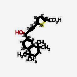 CC1(C)CCC(C)(C)c2cc(C(O)C#Cc3ccc(C(=O)O)s3)ccc21